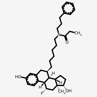 CCC(=O)N(CCCCCC[C@@H]1Cc2cc(O)ccc2[C@@H]2[C@@H]1[C@@H]1CC[C@H](O)[C@@]1(C)C[C@@H]2F)CCCc1ccccc1